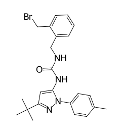 Cc1ccc(-n2nc(C(C)(C)C)cc2NC(=O)NCc2ccccc2CBr)cc1